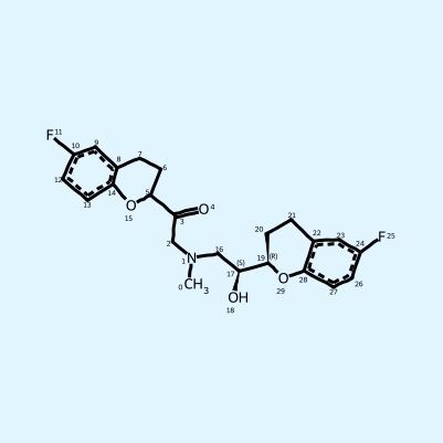 CN(CC(=O)C1CCc2cc(F)ccc2O1)C[C@H](O)[C@H]1CCc2cc(F)ccc2O1